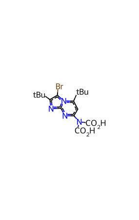 CC(C)(C)c1nc2nc(N(C(=O)O)C(=O)O)cc(C(C)(C)C)n2c1Br